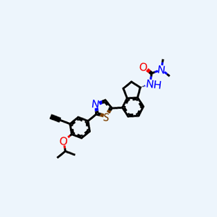 C#Cc1cc(-c2ncc(-c3cccc4c3CC[C@@H]4NC(=O)N(C)C)s2)ccc1OC(C)C